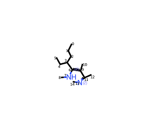 CCCC(CC)/C(NC)=C(C)/C(C)=N\C